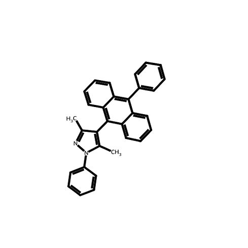 Cc1nn(-c2ccccc2)c(C)c1-c1c2ccccc2c(-c2ccccc2)c2ccccc12